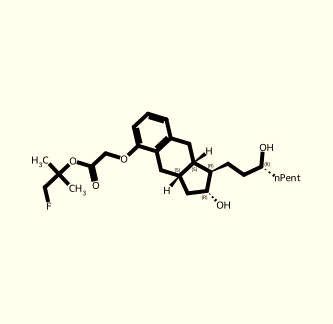 CCCCC[C@@H](O)CC[C@@H]1[C@H]2Cc3cccc(OCC(=O)OC(C)(C)CF)c3C[C@H]2C[C@H]1O